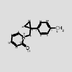 Cc1ccc(C2(Cn3ccccc3=O)CC2)cc1